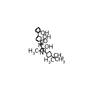 Cc1nn(C2CCC(C(C)(C)C)CC2)c(O)c1N=NC1(C(=O)O)C=CC=C(c2ccccc2O)C1